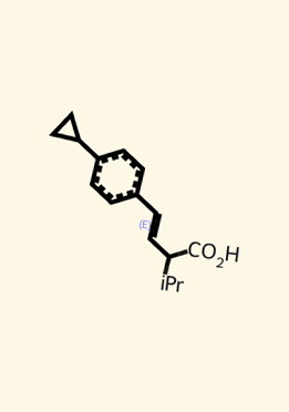 CC(C)C(/C=C/c1ccc(C2CC2)cc1)C(=O)O